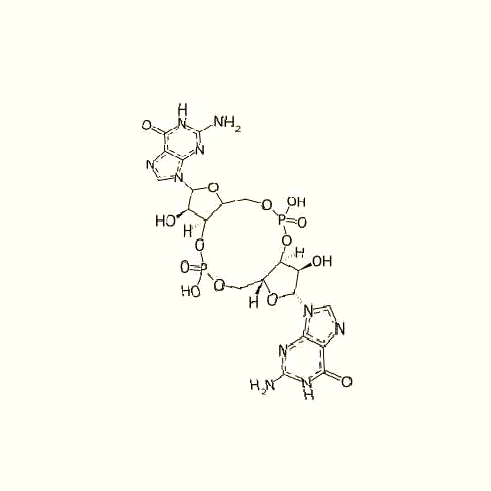 Nc1nc2c(ncn2C2OC3COP(=O)(O)O[C@H]4[C@@H](O)[C@H](n5cnc6c(=O)[nH]c(N)nc65)O[C@@H]4COP(=O)(O)O[C@H]3[C@H]2O)c(=O)[nH]1